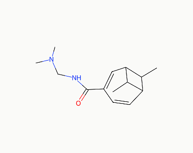 CC1C2C=CC(C(=O)NCN(C)C)=CC1C2C